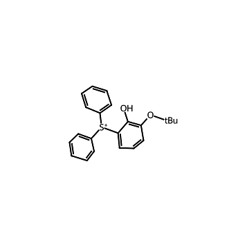 CC(C)(C)Oc1cccc([S+](c2ccccc2)c2ccccc2)c1O